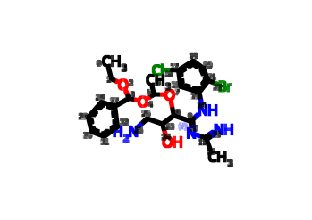 CCOC(OC(C)OC(/C(=N/C(C)=N)Nc1cc(Cl)ccc1Br)C(O)CN)c1ccccc1